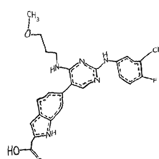 COCCCNc1nc(Nc2ccc(F)c(Cl)c2)ncc1-c1ccc2cc(C(=O)O)[nH]c2c1